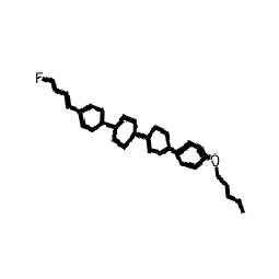 CCCCCOc1ccc(C2CCC(C3CCC(C4CCC(CCCCF)CC4)CC3)CC2)cc1